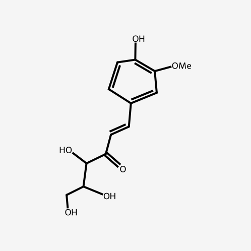 COc1cc(/C=C/C(=O)C(O)C(O)CO)ccc1O